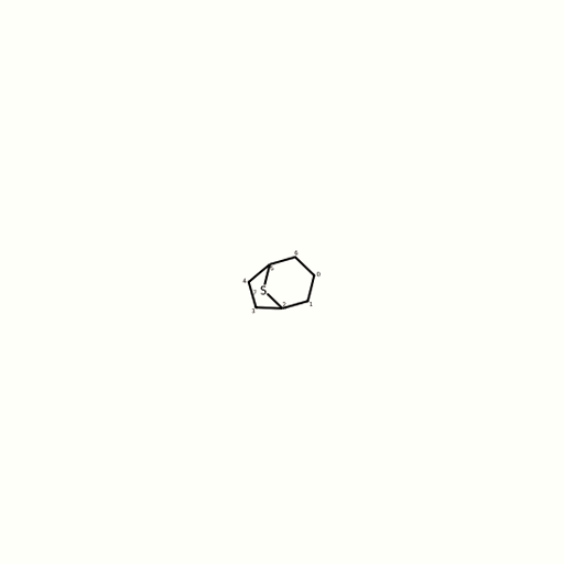 C1C[C]2CCC(C1)S2